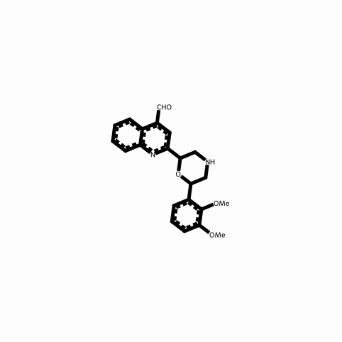 COc1cccc(C2CNCC(c3cc(C=O)c4ccccc4n3)O2)c1OC